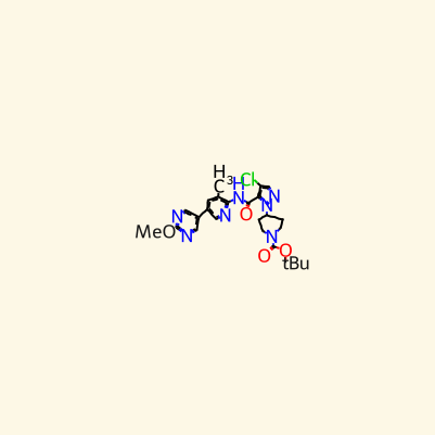 COc1ncc(-c2cnc(NC(=O)c3c(Cl)cnn3C3CCN(C(=O)OC(C)(C)C)CC3)c(C)c2)cn1